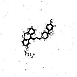 CCOC(=O)COc1ccc2c(c1)/C(=C/CCN1CCC(O)(c3ccc(Cl)cc3)CC1)c1cccnc1CO2